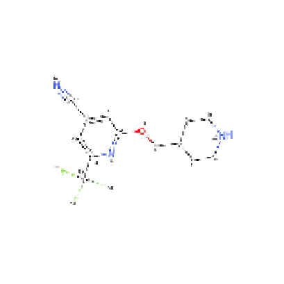 N#Cc1cc(OCC2CCNCC2)nc(C(F)(F)F)c1